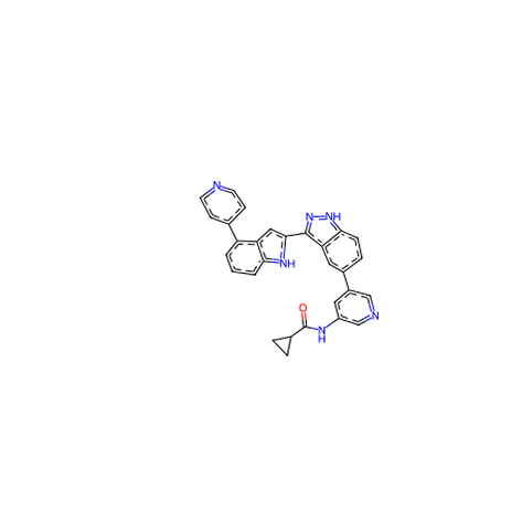 O=C(Nc1cncc(-c2ccc3[nH]nc(-c4cc5c(-c6ccncc6)cccc5[nH]4)c3c2)c1)C1CC1